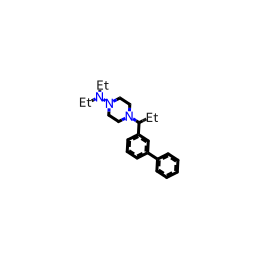 CCC(c1cccc(-c2ccccc2)c1)N1CCN(N(CC)CC)CC1